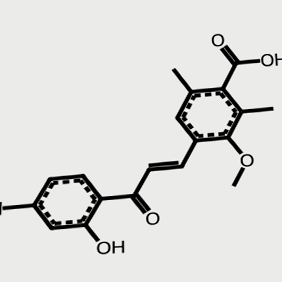 COc1c(C=CC(=O)c2ccc(Cl)cc2O)cc(C)c(C(=O)O)c1C